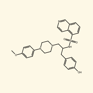 COc1ccc(N2CCN(CC(Cc3ccc(O)cc3)NS(=O)(=O)c3cccc4cnccc34)CC2)cc1